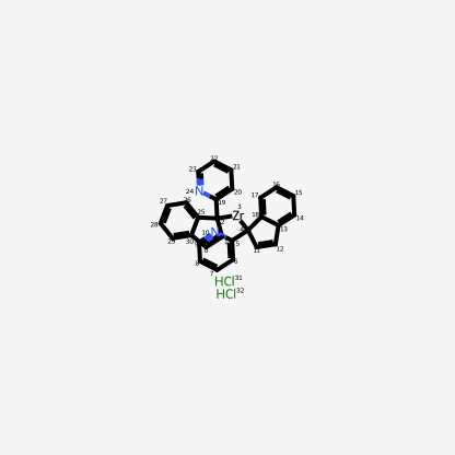 C1=C[C]([Zr][C]2(c3ccccn3)C=Cc3ccccc32)(c2ccccn2)c2ccccc21.Cl.Cl